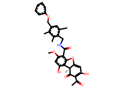 COc1cc(O)c2c(c1C(=O)NCc1c(C)cc(COc3ccccc3)c(C)c1C)OC1=CC(O)=C(C(C)=O)C(=O)[C@]12C